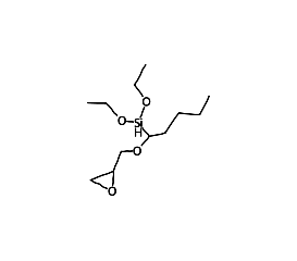 CCCCC(OCC1CO1)[SiH](OCC)OCC